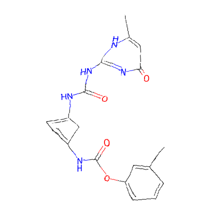 Cc1cccc(OC(=O)NC2=CC=C(NC(=O)Nc3nc(=O)cc(C)[nH]3)C2)c1